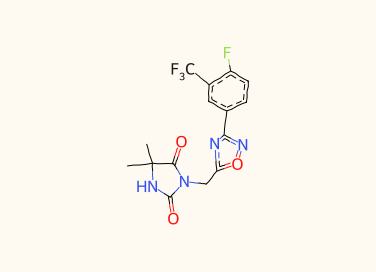 CC1(C)NC(=O)N(Cc2nc(-c3ccc(F)c(C(F)(F)F)c3)no2)C1=O